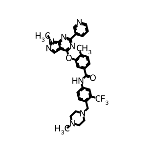 Cc1ccc(C(=O)Nc2ccc(CN3CCN(C)CC3)c(C(F)(F)F)c2)cc1Oc1nc(-c2cccnc2)nc2c1cnn2C